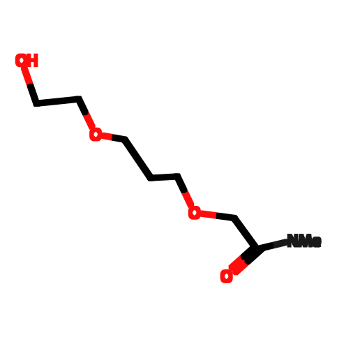 CNC(=O)COCCCOCCO